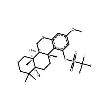 COc1cc(OS(=O)(=O)C(F)(F)F)c2c(c1)SC[C@@H]1[C@@]3(C)CCCC(C)(C)[C@@H]3CC[C@@]21C